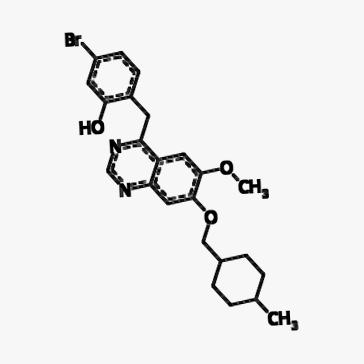 COc1cc2c(Cc3ccc(Br)cc3O)ncnc2cc1OCC1CCC(C)CC1